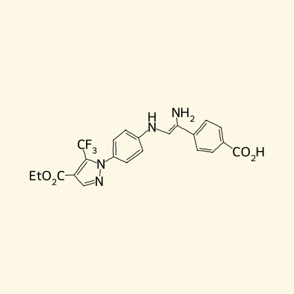 CCOC(=O)c1cnn(-c2ccc(N/C=C(\N)c3ccc(C(=O)O)cc3)cc2)c1C(F)(F)F